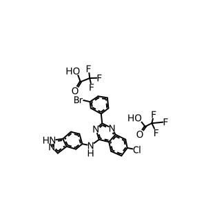 Clc1ccc2c(Nc3ccc4[nH]ncc4c3)nc(-c3cccc(Br)c3)nc2c1.O=C(O)C(F)(F)F.O=C(O)C(F)(F)F